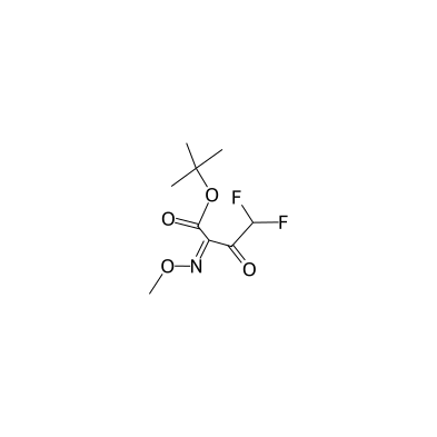 CON=C(C(=O)OC(C)(C)C)C(=O)C(F)F